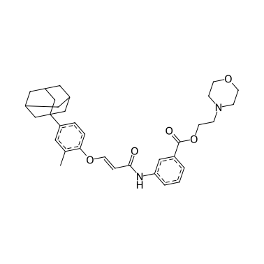 Cc1cc(C23CC4CC(CC(C4)C2)C3)ccc1OC=CC(=O)Nc1cccc(C(=O)OCCN2CCOCC2)c1